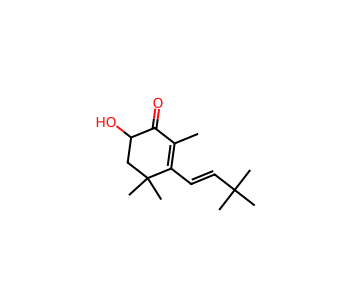 CC1=C(/C=C/C(C)(C)C)C(C)(C)CC(O)C1=O